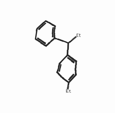 CCc1ccc(C(CC)c2ccccc2)cc1